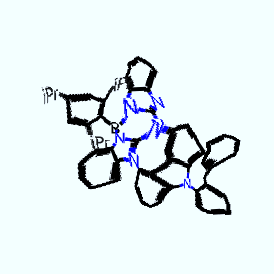 CC(C)c1cc(C(C)C)c(B2n3c(nc4ccccc43)N(c3cccc4c3c3ccccc3n4-c3ccccc3-c3ccccc3)c3nc4ccccc4n32)c(C(C)C)c1